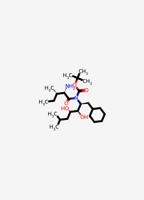 CC[C@H](C)[C@H](N)C(=O)N(C(=O)OC(C)(C)C)[C@@H](CC1CCCCC1)[C@@H](O)[C@@H](O)CC(C)C